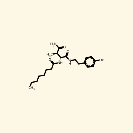 CCCCCCCC(=O)N[C@@H](C(=O)NCCc1ccc(O)cc1)C(C)C(N)=O